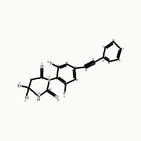 CCC1(CC)CC(=O)N(c2c(F)cc(C#Cc3ccccc3)cc2F)C(=O)N1